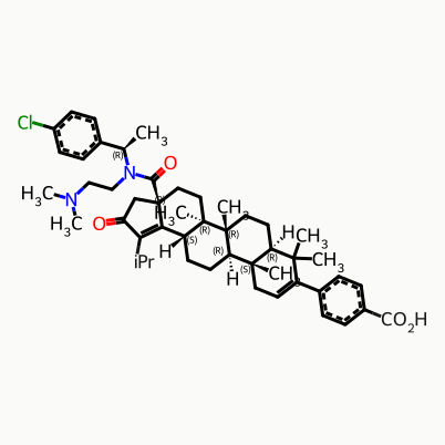 CC(C)C1=C2[C@H]3CC[C@@H]4[C@@]5(C)CC=C(c6ccc(C(=O)O)cc6)C(C)(C)[C@@H]5CC[C@@]4(C)[C@]3(C)CC[C@@]2(C(=O)N(CCN(C)C)[C@H](C)c2ccc(Cl)cc2)CC1=O